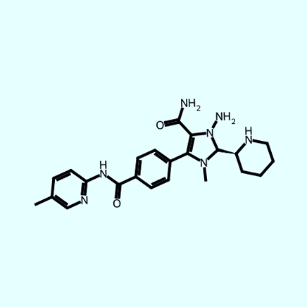 Cc1ccc(NC(=O)c2ccc(C3=C(C(N)=O)N(N)C([C@@H]4CCCCN4)N3C)cc2)nc1